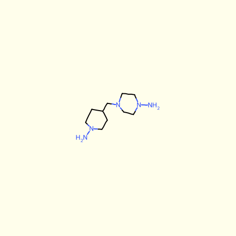 NN1CCC(CN2CCN(N)CC2)CC1